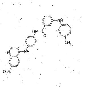 CC1=C=CC=C(Nc2cccc(C(=O)Nc3ccc(Nc4ccnc5cc([N+](=O)[O-])ccc45)cc3)c2)C=C1